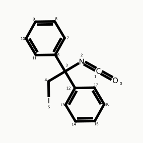 O=C=NC(CI)(c1ccccc1)c1ccccc1